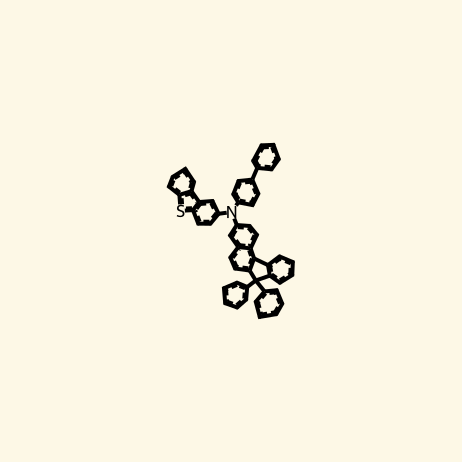 c1ccc(-c2ccc(N(c3ccc4c5c(ccc4c3)C(c3ccccc3)(c3ccccc3)c3ccccc3-5)c3ccc4sc5ccccc5c4c3)cc2)cc1